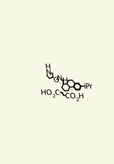 CC(C)c1ccc2c(c1)CC[C@H]1[C@](C)(/C=N\O[C@H]3CCNC3)CCC[C@]21C.O=C(O)/C=C/C(=O)O